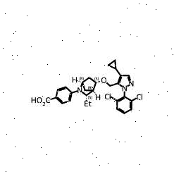 CC[C@H]1[C@H]2C[C@H](C[C@@H]2OCc2c(C3CC3)cnn2-c2c(Cl)cccc2Cl)N1c1ccc(C(=O)O)cc1